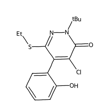 CCSc1nn(C(C)(C)C)c(=O)c(Cl)c1-c1ccccc1O